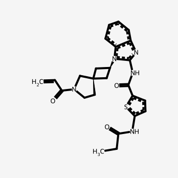 C=CC(=O)N1CC[C@]2(C1)C[C@H](n1c(NC(=O)c3ccc(NC(=O)CC)s3)nc3ccccc31)C2